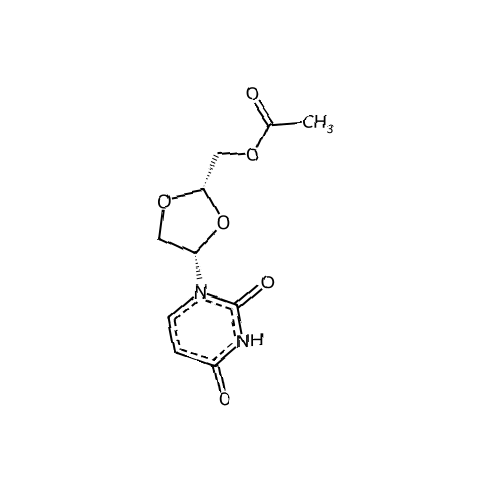 CC(=O)OC[C@H]1OC[C@@H](n2ccc(=O)[nH]c2=O)O1